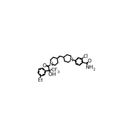 CCc1cccc([C@@](O)(C(=O)N2CCC(CC3CCN(c4ccc(C(N)=O)c(Cl)c4)CC3)CC2)C(F)(F)F)c1